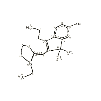 CCC[N+]1=C(/C=C2\SCCN2CC)C(C)(C)c2cc(Cl)ccc21